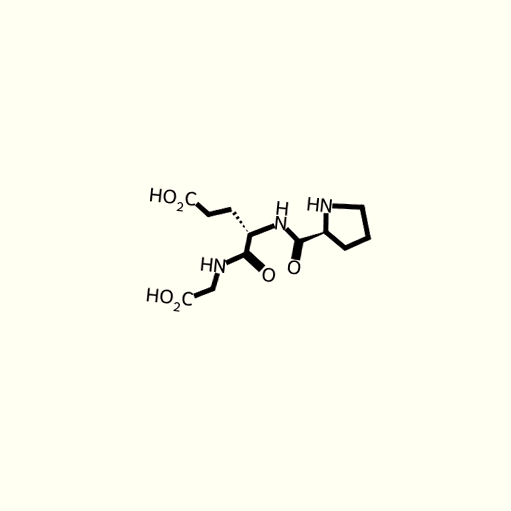 O=C(O)CC[C@H](NC(=O)[C@@H]1CCCN1)C(=O)NCC(=O)O